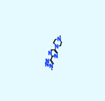 CN1CCN(c2cnc(-c3cn(C)nn3)nc2)CC1